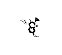 COc1ccc2c(c1)N[C@@H](C1CC1)[C@H](C)[C@H]2NC(=O)O